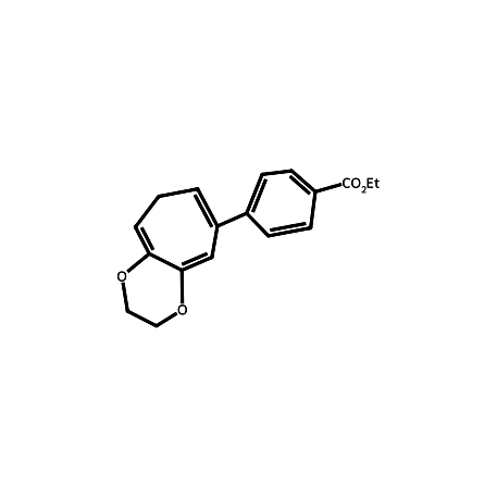 CCOC(=O)c1ccc(C2=CCC=C3OCCOC3=C2)cc1